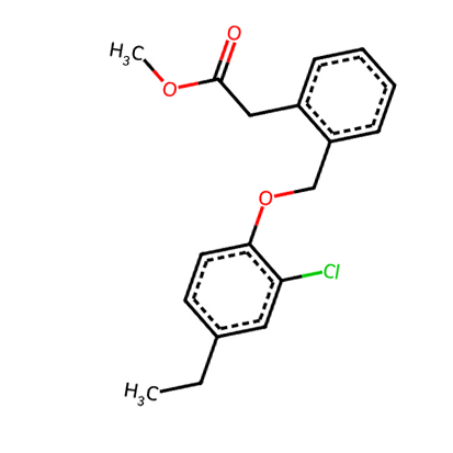 CCc1ccc(OCc2ccccc2CC(=O)OC)c(Cl)c1